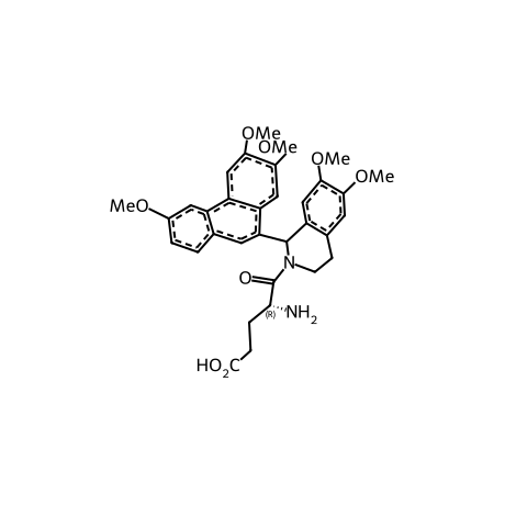 COc1ccc2cc(C3c4cc(OC)c(OC)cc4CCN3C(=O)[C@H](N)CCC(=O)O)c3cc(OC)c(OC)cc3c2c1